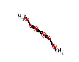 C=CC(=O)OCCCCCCOc1ccc(C(=O)Oc2ccc([C@H]3CC[C@@H](OC(=O)c4ccc(OCCCCCCOC(=O)C=C)cc4)CC3)cc2)cc1